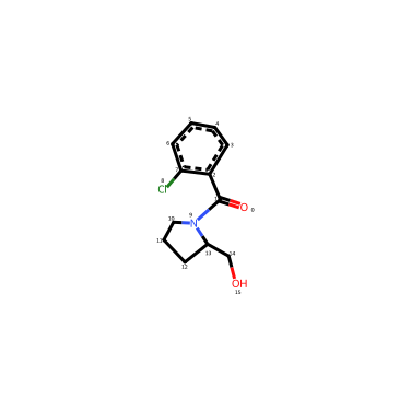 O=C(c1ccccc1Cl)N1CCCC1CO